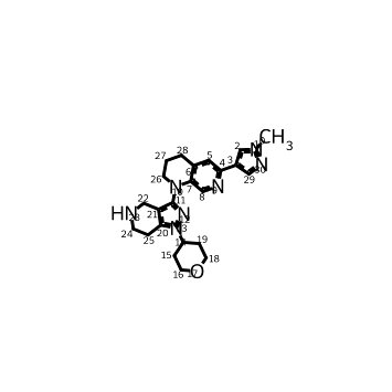 Cn1cc(-c2cc3c(cn2)N(c2nn(C4CCOCC4)c4c2CNCC4)CCC3)cn1